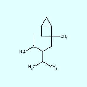 CC(C)C(CC1(C)CC2CC21)N(C)I